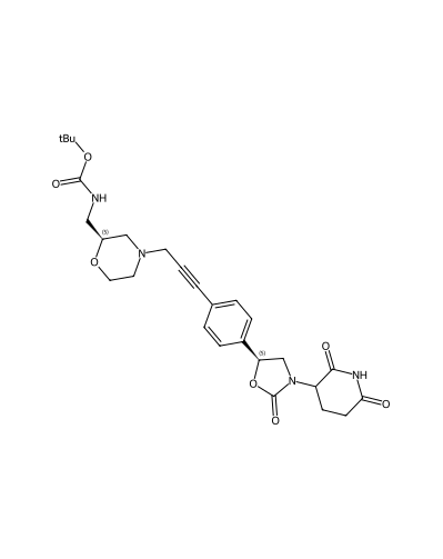 CC(C)(C)OC(=O)NC[C@H]1CN(CC#Cc2ccc([C@H]3CN(C4CCC(=O)NC4=O)C(=O)O3)cc2)CCO1